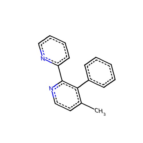 Cc1ccnc(-c2ccccn2)c1-c1ccccc1